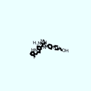 Nc1ncnc2c1c(-c1ccc3[nH]c(Cc4ccccc4F)cc3c1)nn2[C@H]1CC[C@H](N2CCN(CCO)CC2)CC1